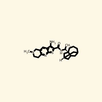 CC(NC(=O)c1sc2nc3c(cc2c1N)CN(C)CC3)[C@@]12CCCC3CC1C[C@@H](C3)C2